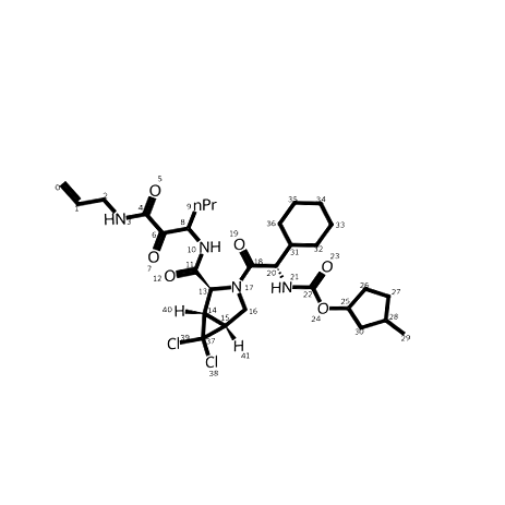 C=CCNC(=O)C(=O)C(CCC)NC(=O)[C@@H]1[C@@H]2[C@H](CN1C(=O)[C@@H](NC(=O)OC1CCC(C)C1)C1CCCCC1)C2(Cl)Cl